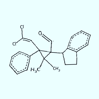 CC1(C)C(C=C(Cl)Cl)(c2ccccc2)C1([C]=O)C1CCc2ccccc21